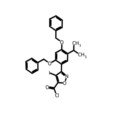 CC(C)c1cc(-c2noc(C(=O)Cl)c2I)c(OCc2ccccc2)cc1OCc1ccccc1